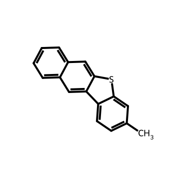 Cc1ccc2c(c1)sc1cc3ccccc3cc12